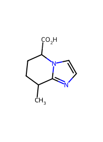 CC1CCC(C(=O)O)n2ccnc21